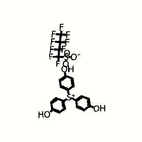 O=S(=O)([O-])C(F)(F)C(F)(F)C(F)(F)C(F)(F)F.Oc1ccc([S+](c2ccc(O)cc2)c2ccc(O)cc2)cc1